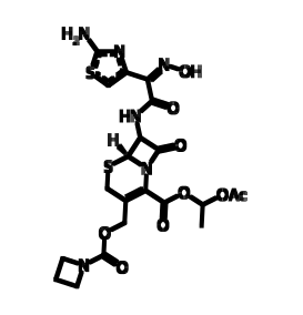 CC(=O)OC(C)OC(=O)C1=C(COC(=O)N2CCC2)CS[C@@H]2C(NC(=O)/C(=N\O)c3csc(N)n3)C(=O)N12